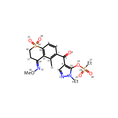 CCn1ncc(C(=O)c2ccc3c(c2C)C(=NOC)CCS3(=O)=O)c1OS(=O)(=O)CC